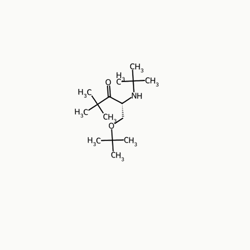 CC(C)(C)N[C@H](COC(C)(C)C)C(=O)C(C)(C)C